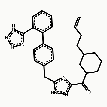 C=CCCC1CCCC(C(=O)c2n[nH]c(Cc3ccc(-c4ccccc4-c4nnn[nH]4)cc3)n2)C1